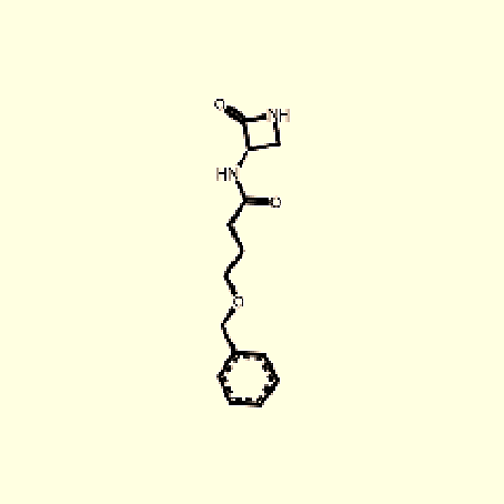 O=C(CCCOCc1ccccc1)N[C@@H]1CNC1=O